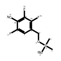 CC(C)(C)[Si](C)(C)OCc1cc(F)c(C#N)c(F)c1F